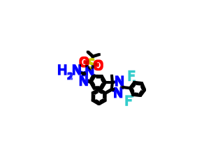 CC(C)S(=O)(=O)n1c(N)nc2ccc(C3(C)N=C(c4c(F)cccc4F)N=C3c3ccccc3)cc21